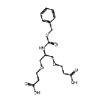 O=C(O)CCOCC(COCCC(=O)O)NC(=O)OCc1ccccc1